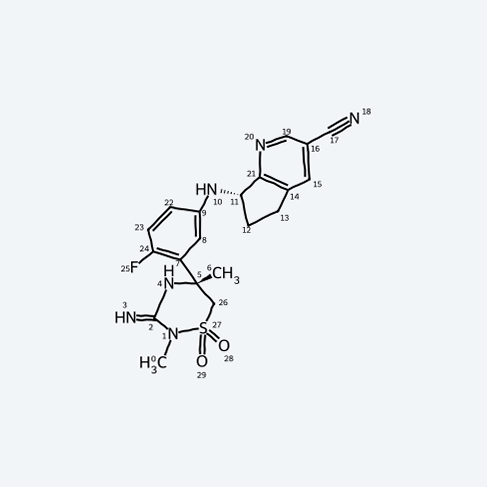 CN1C(=N)N[C@](C)(c2cc(N[C@H]3CCc4cc(C#N)cnc43)ccc2F)CS1(=O)=O